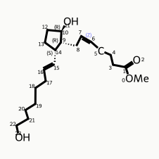 COC(=O)CCC/C=C\C[C@H]1[C@H](O)CC[C@H]1C=CCCCCCCO